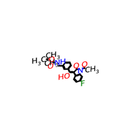 CC(=O)N1C(=O)C(=C(O)c2cccc(CNC(=O)OC(C)(C)C)c2)c2ccc(F)cc21